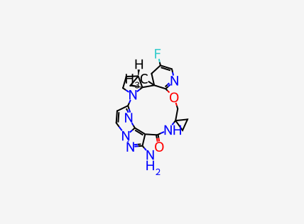 CC12CC(F)=CN=C1OCC1(CC1)NC(=O)c1c(N)nn3ccc(nc13)N1CC[C@H]3C[C@]312